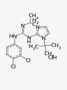 CC(C)/N=C(/Nc1ccc(Cl)c(Cl)c1)Nc1nccn1C(C)(C)C.Cl